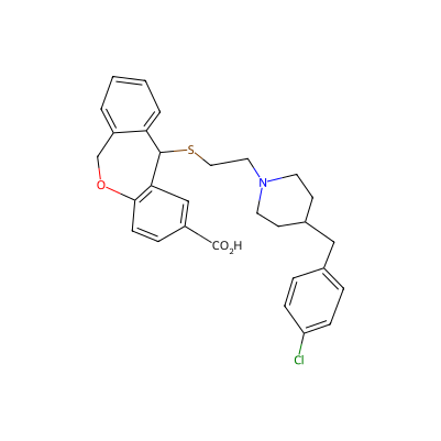 O=C(O)c1ccc2c(c1)C(SCCN1CCC(Cc3ccc(Cl)cc3)CC1)c1ccccc1CO2